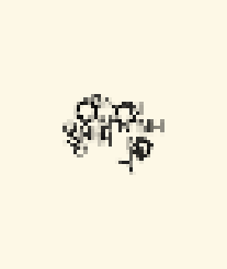 CC(C)n1ccc(Nc2ncc(Br)c(Nc3ccccc3NS(C)(=O)=O)n2)n1